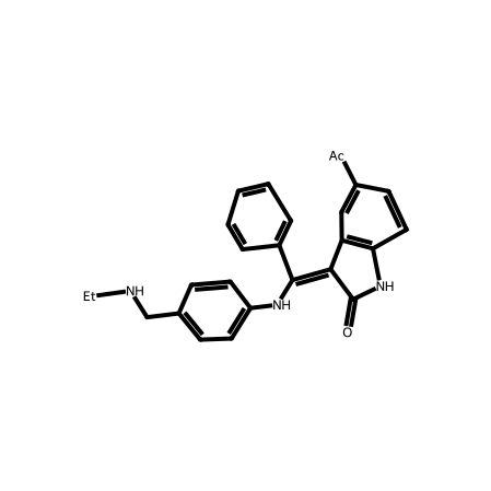 CCNCc1ccc(N/C(=C2\C(=O)Nc3ccc(C(C)=O)cc32)c2ccccc2)cc1